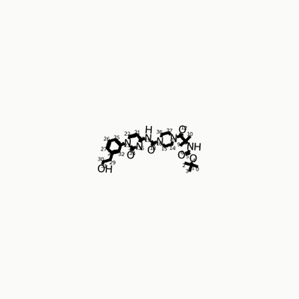 CC(C)(C)OC(=O)NC(C)(C)C(=O)N1CCN(C(=O)Nc2ccn(-c3cccc(CCO)c3)c(=O)n2)CC1